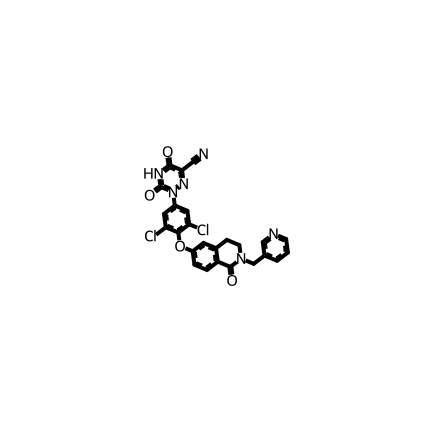 N#Cc1nn(-c2cc(Cl)c(Oc3ccc4c(c3)CCN(Cc3cccnc3)C4=O)c(Cl)c2)c(=O)[nH]c1=O